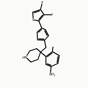 Cc1ccc(N)cc1C1(Cc2ccc(-c3scc(F)c3F)cc2)CCNCC1